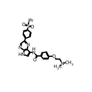 CC(C)S(=O)(=O)c1ccc(-c2cnc3[nH]cc(NC(=O)c4ccc(OCCN(C)C)cc4)c3n2)cc1